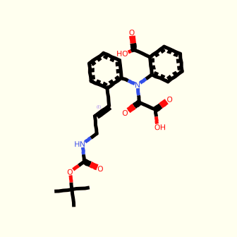 CC(C)(C)OC(=O)NC/C=C/c1ccccc1N(C(=O)C(=O)O)c1ccccc1C(=O)O